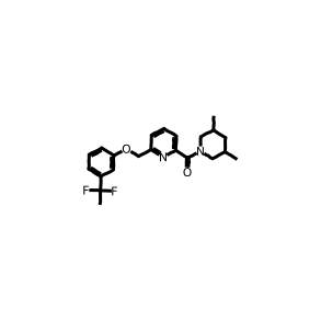 CC1CC(C)CN(C(=O)c2cccc(COc3cccc(C(C)(F)F)c3)n2)C1